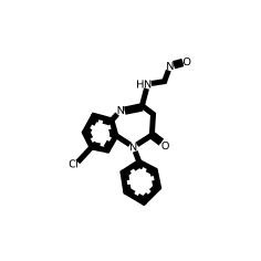 O=NCNC1=Nc2ccc(Cl)cc2N(c2ccccc2)C(=O)C1